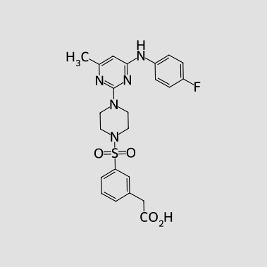 Cc1cc(Nc2ccc(F)cc2)nc(N2CCN(S(=O)(=O)c3cccc(CC(=O)O)c3)CC2)n1